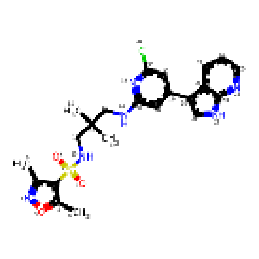 Cc1noc(C)c1S(=O)(=O)NCC(C)(C)CNc1cc(-c2c[nH]c3ncccc23)cc(Cl)n1